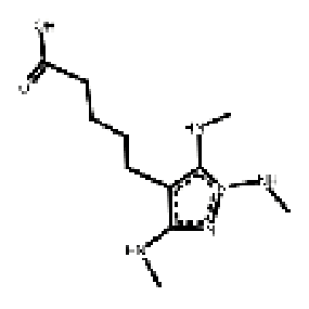 CNc1nn(NC)c(NC)c1CCCCC(=O)O